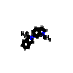 C=C1c2ccccc2CN1c1ccc2c(c1)N(C)CC2